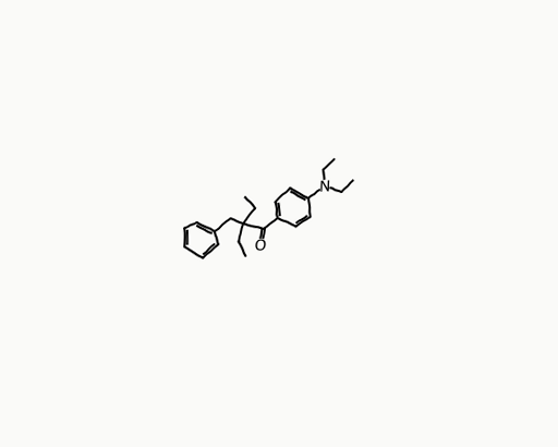 CCN(CC)c1ccc(C(=O)C(CC)(CC)Cc2ccccc2)cc1